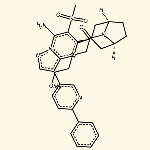 COCCOCC(=O)N1[C@@H]2CC[C@H]1C[C@@H](c1nc3c(-c4ccc(-c5ccccc5)nc4)cnn3c(N)c1S(C)(=O)=O)C2